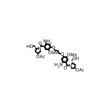 COc1cc(C(=O)N2C[C@H](OC(C)=O)C[C@H]2CO)c(N)cc1OCCCOc1cc(N)c(C(=O)N2C[C@H](OC(C)=O)C[C@H]2CO)cc1OC